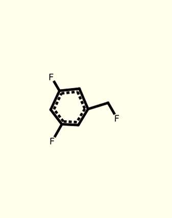 FCc1cc(F)cc(F)c1